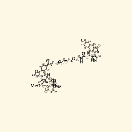 COC(=O)C[C@@H]1C2(C)C(=O)C=C[C@@]3(C)C(=O)O[C@@H]([C@H]4O[C@@H]5C[C@@H](c6ccoc6-c6ccc(C(=O)NCCOCCOCCOCCNC(=O)C[C@@H]7N=C(c8ccc(Cl)cc8)c8c(sc(C)c8C)-n8c(C)nnc87)cc6)C(C)=C5[C@]41C)[C@H]23